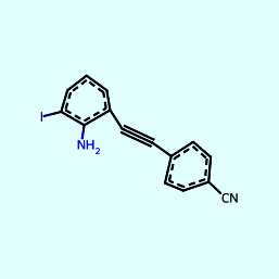 N#Cc1ccc(C#Cc2cccc(I)c2N)cc1